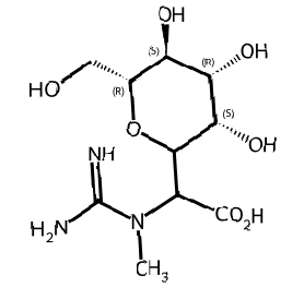 CN(C(=N)N)C(C(=O)O)C1O[C@H](CO)[C@@H](O)[C@H](O)[C@@H]1O